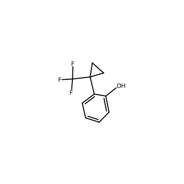 Oc1ccccc1C1(C(F)(F)F)CC1